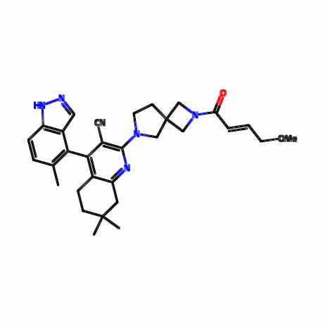 COC/C=C/C(=O)N1CC2(CCN(c3nc4c(c(-c5c(C)ccc6[nH]ncc56)c3C#N)CCC(C)(C)C4)C2)C1